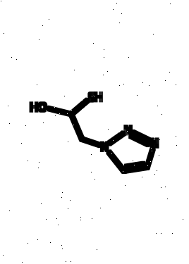 OC(S)Cn1ccnn1